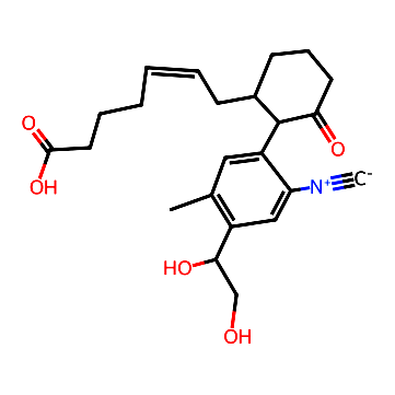 [C-]#[N+]c1cc(C(O)CO)c(C)cc1C1C(=O)CCCC1C/C=C\CCCC(=O)O